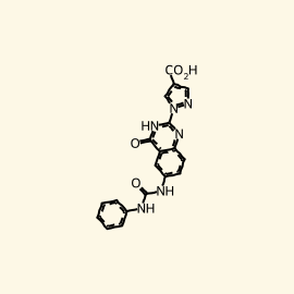 O=C(Nc1ccccc1)Nc1ccc2nc(-n3cc(C(=O)O)cn3)[nH]c(=O)c2c1